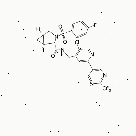 O=C(NCc1cc(-c2cnc(C(F)(F)F)nc2)ncc1Cl)[C@@H]1[C@H]2C[C@H]2CN1S(=O)(=O)c1ccc(F)cc1